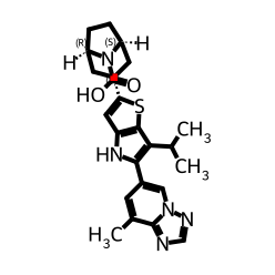 Cc1cc(-c2[nH]c3cc([C@@H]4C[C@H]5CC[C@@H](C4)N5C(=O)O)sc3c2C(C)C)cn2ncnc12